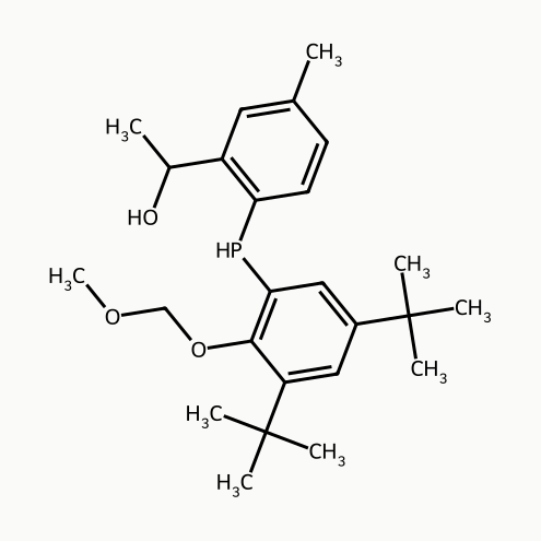 COCOc1c(Pc2ccc(C)cc2C(C)O)cc(C(C)(C)C)cc1C(C)(C)C